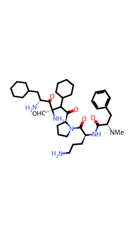 CN[C@@H](Cc1ccccc1)C(=O)N[C@@H](CCCN)C(=O)N1CCC[C@H]1C(=O)C(C1CCCCC1)[C@](N)([C]=O)C(=O)[C@H](N)CC1CCCCC1